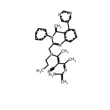 C=C(N)/N=C(C)\C(C#N)=C(/C)N(CCC)CC1=Nc2cccc(-c3cncnc3)c2C(=C)N1c1ccccc1